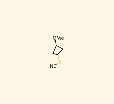 CO[C@H]1C[C@H](SC#N)C1